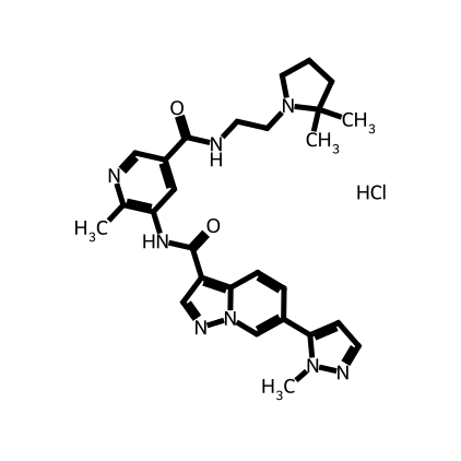 Cc1ncc(C(=O)NCCN2CCCC2(C)C)cc1NC(=O)c1cnn2cc(-c3ccnn3C)ccc12.Cl